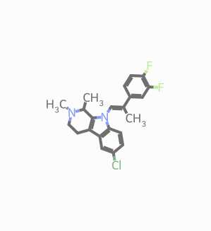 CC(=Cn1c2c(c3cc(Cl)ccc31)CCN(C)C2C)c1ccc(F)c(F)c1